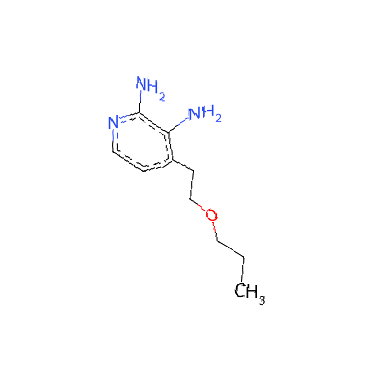 CCCOCCc1ccnc(N)c1N